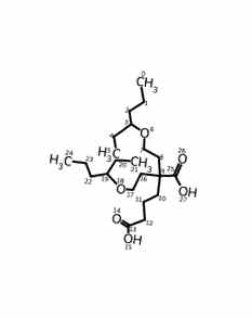 CCCC(CC)OCCC(CCCC(=O)O)(CCOC(CC)CCC)C(=O)O